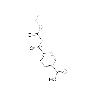 CCOC(=O)C[S+]([O-])c1ccc(C(=O)O)cc1